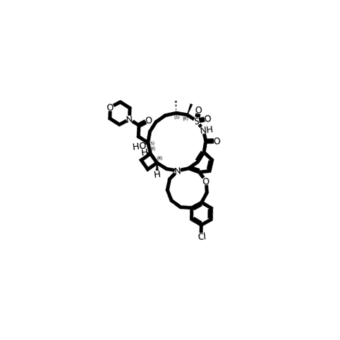 C[C@@H]1[C@@H](C)CCC[C@](O)(CC(=O)N2CCOCC2)[C@@H]2CC[C@H]2CN2CCCCc3cc(Cl)ccc3COc3ccc(cc32)C(=O)NS1(=O)=O